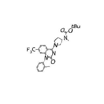 Cc1ccccc1-n1c(=O)nc(N2CC[C@H](N(C)C(=O)OC(C)(C)C)C2)c2ccc(C(F)(F)F)cc21